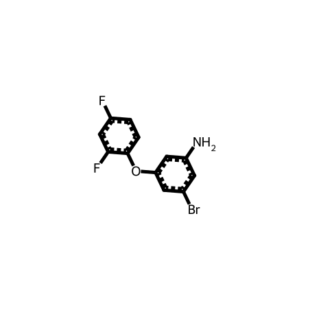 Nc1cc(Br)cc(Oc2ccc(F)cc2F)c1